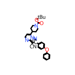 CC(C)(C)OC(=O)N1CCC(c2ccnc3c(C#N)[14c](-c4ccc(Oc5ccccc5)cc4)nn23)CC1